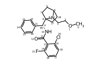 COCCN1C2CCC1([C@H](NC(=O)c1c(F)cccc1Cl)c1ccccc1)CC2